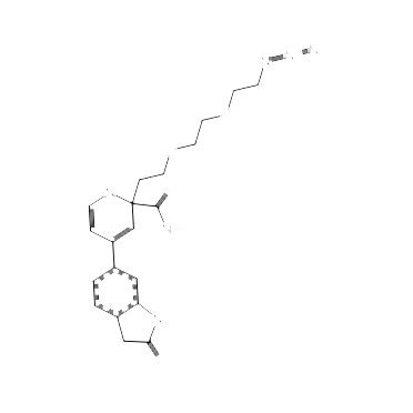 [N-]=[N+]=NCCOCCOCCC1(C(N)=O)C=C(c2ccc3c(c2)NC(=O)C3)C=CN1